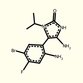 CC(C)n1c(-c2cc(Br)c(F)cc2N)c(N)[nH]c1=O